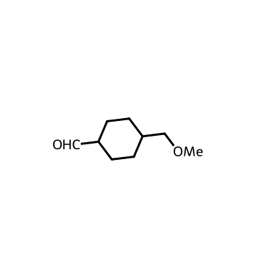 COCC1CCC(C=O)CC1